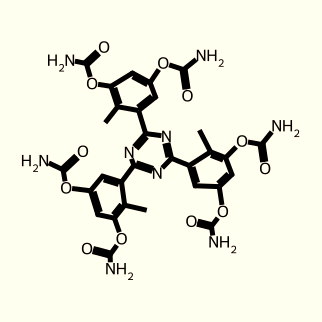 Cc1c(OC(N)=O)cc(OC(N)=O)cc1-c1nc(-c2cc(OC(N)=O)cc(OC(N)=O)c2C)nc(-c2cc(OC(N)=O)cc(OC(N)=O)c2C)n1